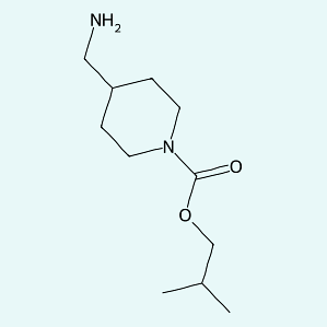 CC(C)COC(=O)N1CCC(CN)CC1